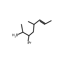 BC(C)C(CC(C)/C=C/C)C(C)C